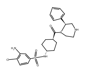 Nc1cc(S(=O)(=O)N[C@H]2CC[C@H](C(=O)N3CCNC[C@@H]3c3ccccc3)CC2)ccc1Cl